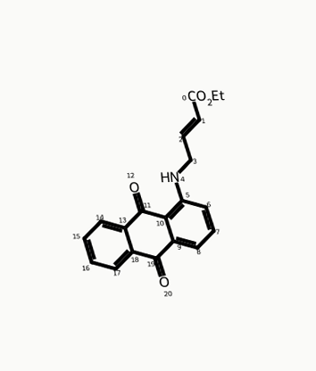 CCOC(=O)C=CCNc1cccc2c1C(=O)c1ccccc1C2=O